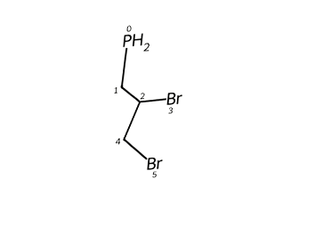 PCC(Br)CBr